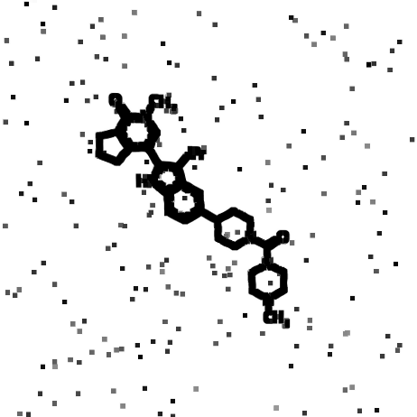 CC(C)c1c(-c2cn(C)c(=O)c3c2CCC3)[nH]c2ccc(C3CCN(C(=O)N4CCN(C)CC4)CC3)cc12